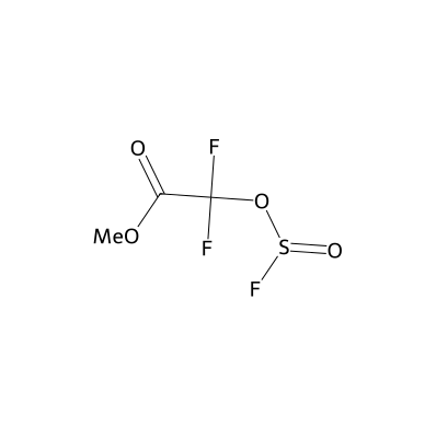 COC(=O)C(F)(F)OS(=O)F